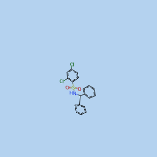 O=S(=O)(NC(c1ccccc1)c1ccccc1)c1ccc(Cl)cc1Cl